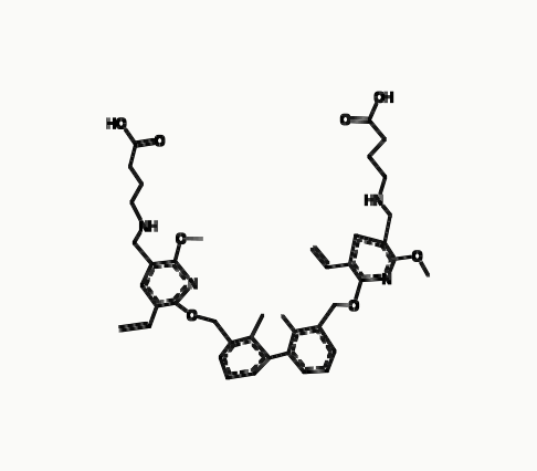 C=Cc1cc(CNCCCC(=O)O)c(OC)nc1OCc1cccc(-c2cccc(COc3nc(OC)c(CNCCCC(=O)O)cc3C=C)c2C)c1C